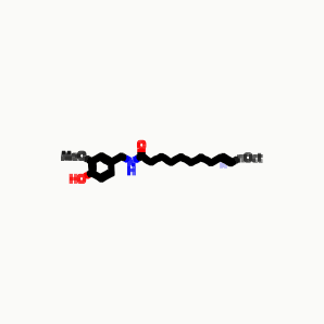 CCCCCCCC/C=C/CCCCCCCC(=O)NCc1ccc(O)c(OC)c1